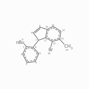 CCCCc1ccccc1C1C=Cc2ccc(C)c(Br)c21